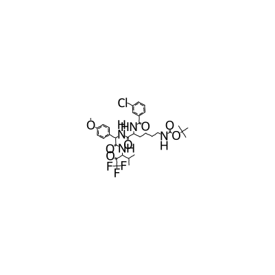 COc1ccc(C(NC(=O)C(CCCCNC(=O)OC(C)(C)C)NC(=O)c2cccc(Cl)c2)C(=O)NC(C(=O)C(F)(F)F)C(C)C)cc1